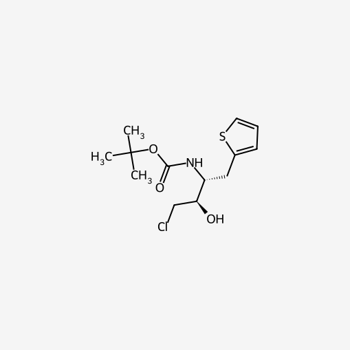 CC(C)(C)OC(=O)N[C@H](Cc1cccs1)[C@@H](O)CCl